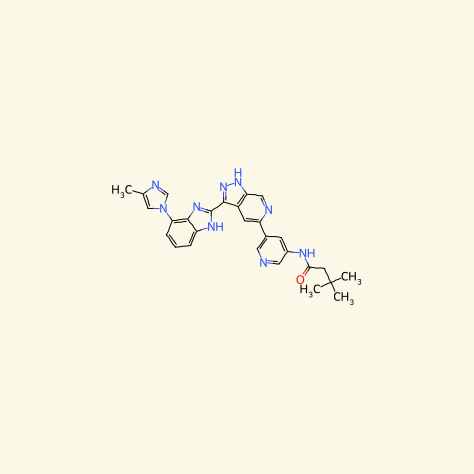 Cc1cn(-c2cccc3[nH]c(-c4n[nH]c5cnc(-c6cncc(NC(=O)CC(C)(C)C)c6)cc45)nc23)cn1